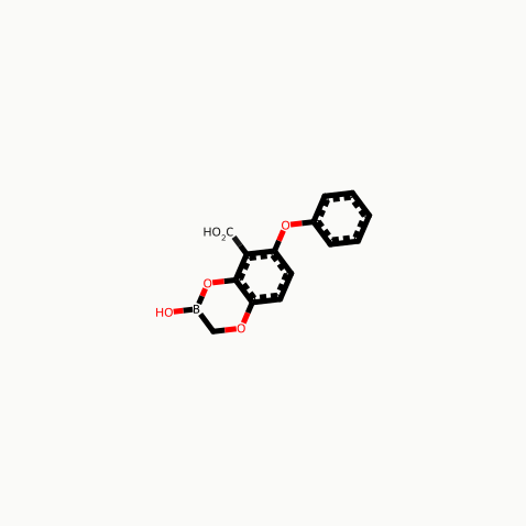 O=C(O)c1c(Oc2ccccc2)ccc2c1OB(O)CO2